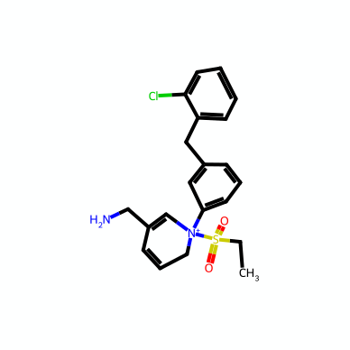 CCS(=O)(=O)[N+]1(c2cccc(Cc3ccccc3Cl)c2)C=C(CN)C=CC1